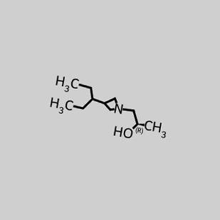 CCC(CC)C1CN(C[C@@H](C)O)C1